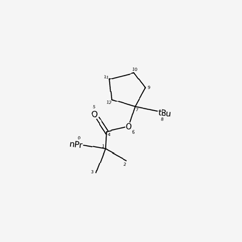 CCCC(C)(C)C(=O)OC1(C(C)(C)C)CCCC1